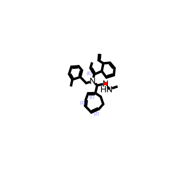 C=CC1C=CC=CC1/C(=C\C)N(Cc1ccccc1C)C(/C1=C/C=C\C=C/CC1)N(C)NC